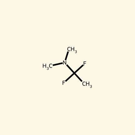 CN(C)C(C)(F)F